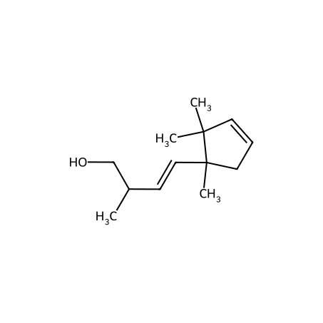 CC(C=CC1(C)CC=CC1(C)C)CO